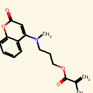 C=C(C)C(=O)OCCCN(C)c1cc(=O)oc2ccccc12